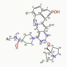 CCc1c(F)ccc2cc(O)cc(-c3ncc4c(N5CCC(C(=O)N(C)C(C)=O)CC5)nc(OC[C@@]56CCCN5C[C@H](F)C6)nc4c3F)c12